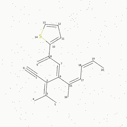 C#CC(=C(C)C)C(=C\C(=C)c1cccs1)/C(C)=C\C=C/C